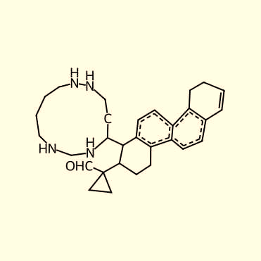 O=CC1(C2CCc3c(ccc4c5c(ccc34)C=CCC5)C2C2CCNNCCCCNCN2)CC1